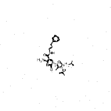 CC(C)OC[C@H]1O[C@@H](n2cc(C(=O)NCCCc3ccccc3)c(N)nc2=O)C(C)[C@H]1OC(C)C